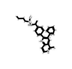 CCCC[S+]([O-])NC(C)c1ccc(-c2nc3ccnc(C)c3cc2-c2ccccc2)cc1